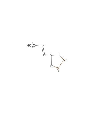 C1CSSC1.C=CC(=O)O